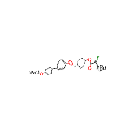 CCCCCOc1ccc(-c2ccc(OC[C@H]3CC[C@H](OC(=O)[C@@H](F)CCCC)CC3)cc2)cc1